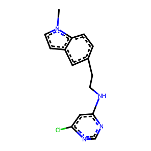 Cn1ccc2cc(CCNc3cc(Cl)ncn3)ccc21